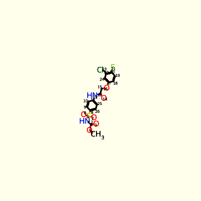 COC(=O)NS(=O)(=O)c1ccc(NC(=O)COc2ccc(F)c(Cl)c2)cc1